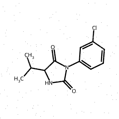 CC(C)C1NC(=O)N(c2cccc(Cl)c2)C1=O